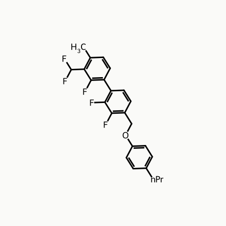 CCCc1ccc(OCc2ccc(-c3ccc(C)c(C(F)F)c3F)c(F)c2F)cc1